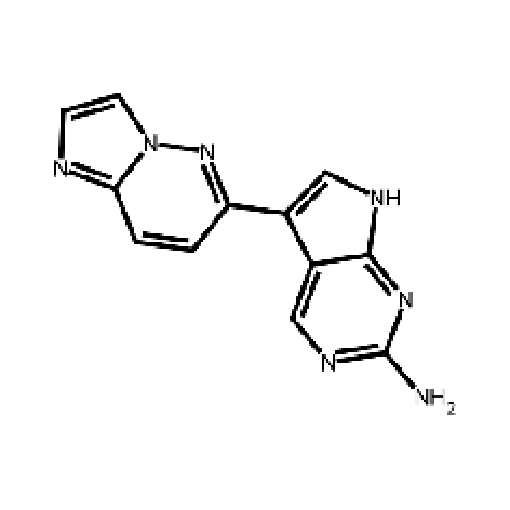 Nc1ncc2c(-c3ccc4nccn4n3)c[nH]c2n1